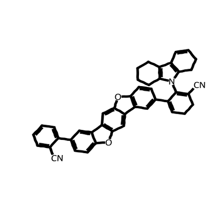 N#CC1=C(n2c3c(c4c2CCCC4)C=CCC3)C(c2ccc3oc4cc5c(cc4c3c2)oc2ccc(-c3ccccc3C#N)cc25)=CCC1